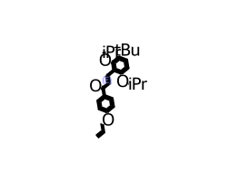 C=CCOc1ccc(C(=O)/C=C/c2c(OC(C)C)ccc(C(C)(C)C)c2OC(C)C)cc1